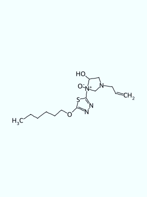 C=CCN1CC(O)[N+]([O-])(c2nnc(OCCCCCC)s2)C1